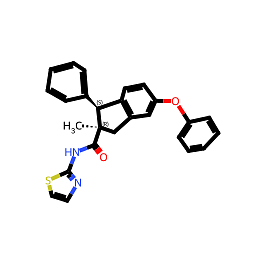 C[C@@]1(C(=O)Nc2nccs2)Cc2cc(Oc3ccccc3)ccc2[C@@H]1c1ccccc1